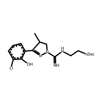 CCCCCCCCCCCCNC(=N)N1CC(C)C(c2cccc(Cl)c2O)=N1